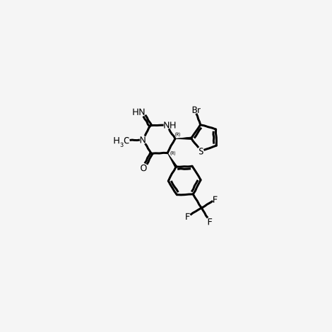 CN1C(=N)N[C@@H](c2sccc2Br)[C@@H](c2ccc(C(F)(F)F)cc2)C1=O